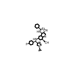 C#Cc1cc(NC(c2ccc(F)cc2)c2cn(C3CC3)nn2)cc2c(N[C@H](CC)c3ccccc3)c(C#N)cnc12